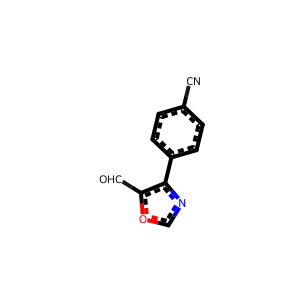 N#Cc1ccc(-c2ncoc2C=O)cc1